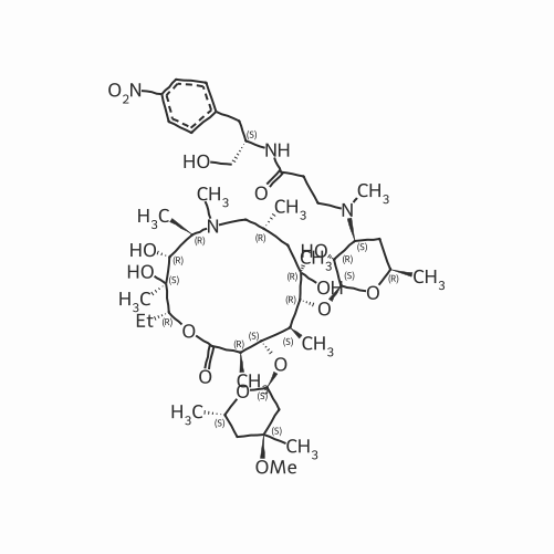 CC[C@H]1OC(=O)[C@H](C)[C@@H](O[C@H]2C[C@@](C)(OC)C[C@H](C)O2)[C@H](C)[C@@H](O[C@@H]2O[C@H](C)C[C@H](N(C)CCC(=O)N[C@H](CO)Cc3ccc([N+](=O)[O-])cc3)[C@H]2O)[C@](C)(O)C[C@@H](C)CN(C)[C@H](C)[C@@H](O)[C@]1(C)O